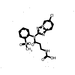 CS(=O)(=O)c1ccccc1N(C(=O)CCNC(=O)O)c1nc2ccc(Cl)cn2n1